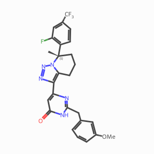 COc1cccc(Cc2nc(-c3nnn4c3CCC[C@@]4(C)c3ccc(C(F)(F)F)cc3F)cc(=O)[nH]2)c1